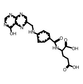 O=C(O)CCC(NC(=O)c1ccc(NCc2cnc3ncnc(O)c3n2)cc1)C(=O)O